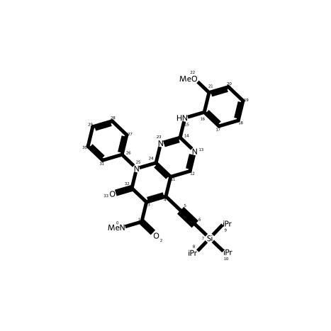 CNC(=O)c1c(C#C[Si](C(C)C)(C(C)C)C(C)C)c2cnc(Nc3ccccc3OC)nc2n(-c2ccccc2)c1=O